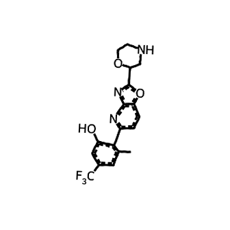 Cc1cc(C(F)(F)F)cc(O)c1-c1ccc2oc(C3CNCCO3)nc2n1